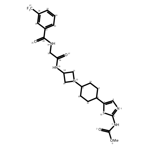 COC(=O)Nc1ncc(C2CCC(N3CC(NC(=O)CNC(=O)c4cccc(C(F)(F)F)c4)C3)CC2)s1